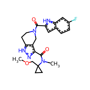 COCC1(N(C)C(=O)c2n[nH]c3c2CN(C(=O)c2cc4ccc(F)cc4[nH]2)CC3)CC1